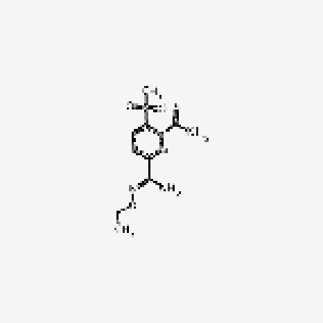 CCO/N=C(\N)c1ccc(S(C)(=O)=O)c(C(N)=S)n1